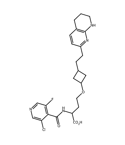 O=C(NC(CCOC1CC(CCc2ccc3c(n2)NCCC3)C1)C(=O)O)c1c(F)cncc1Cl